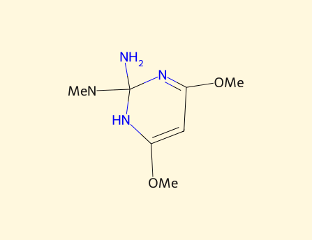 CNC1(N)N=C(OC)C=C(OC)N1